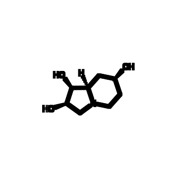 O[C@H]1CCN2C[C@@H](O)[C@@H](O)[C@H]2C1